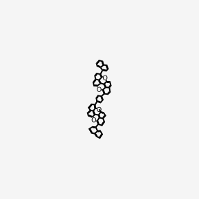 c1ccc2c(-c3ccc4ccc5oc6c(-c7ccc(-c8ccc9ccc%10oc%11c(-c%12cccc%13ccccc%12%13)ccc%12ccc%13oc8c9c%10-c%13c%12%11)cc7)ccc7ccc8oc3c4c5-c8c76)cccc2c1